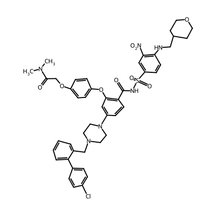 CN(C)C(=O)COc1ccc(Oc2cc(N3CCN(Cc4ccccc4-c4ccc(Cl)cc4)CC3)ccc2C(=O)NS(=O)(=O)c2ccc(NCC3CCOCC3)c([N+](=O)[O-])c2)cc1